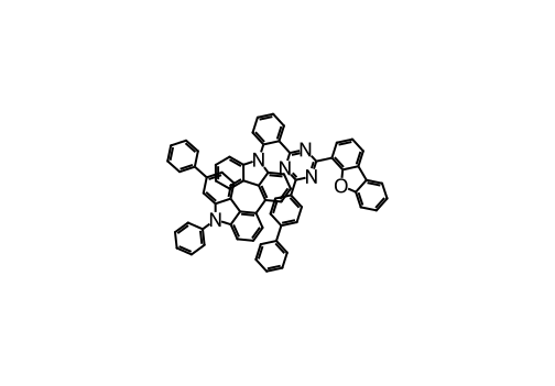 c1ccc(-c2ccc(-c3nc(-c4ccccc4-n4c5ccccc5c5c(-c6cccc7c6c6ccc(-c8ccccc8)cc6n7-c6ccccc6)cccc54)nc(-c4cccc5c4oc4ccccc45)n3)cc2)cc1